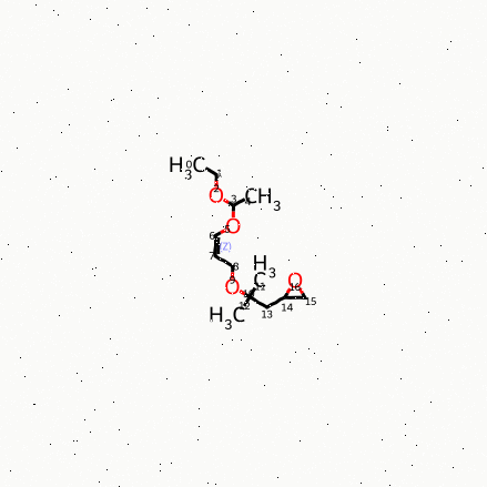 CCOC(C)O/C=C\COC(C)(C)CC1CO1